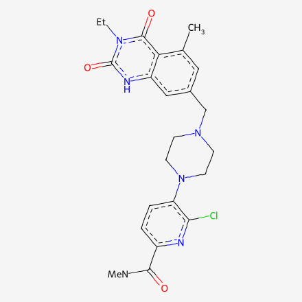 CCn1c(=O)[nH]c2cc(CN3CCN(c4ccc(C(=O)NC)nc4Cl)CC3)cc(C)c2c1=O